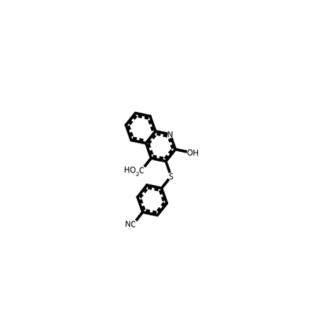 N#Cc1ccc(Sc2c(O)nc3ccccc3c2C(=O)O)cc1